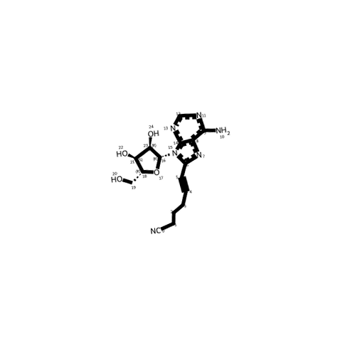 N#CCCCC#Cc1nc2c(N)ncnc2n1[C@@H]1O[C@H](CO)[C@@H](O)[C@H]1O